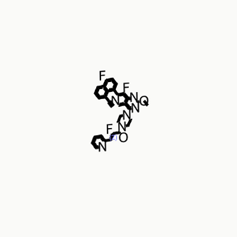 C#Cc1cccc2c(F)ccc(-c3ncc4c(N5CCN(C(=O)/C(F)=C/c6ccccn6)CC5)nc(OC)nc4c3F)c12